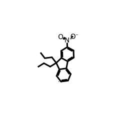 CCCC1(CCC)c2c[c]ccc2-c2ccc([N+](=O)[O-])cc21